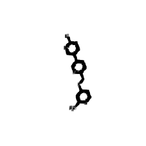 FC(F)(F)c1cc(SCc2ccc(-c3cnc(Cl)nc3)cn2)ccn1